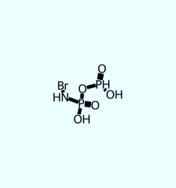 O=[PH](O)OP(=O)(O)NBr